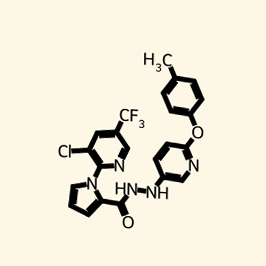 Cc1ccc(Oc2ccc(NNC(=O)c3cccn3-c3ncc(C(F)(F)F)cc3Cl)cn2)cc1